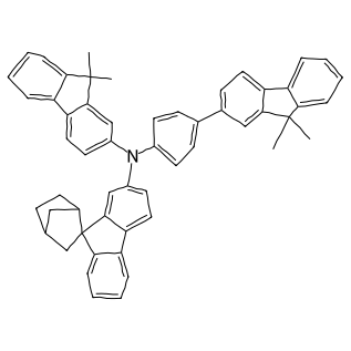 CC1(C)c2ccccc2-c2ccc(-c3ccc(N(c4ccc5c(c4)C(C)(C)c4ccccc4-5)c4ccc5c(c4)C4(CC6CCC4C6)c4ccccc4-5)cc3)cc21